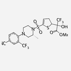 COC(=O)C(O)(C1CC=C(S(=O)(=O)N2CCN(c3ccc(C#N)cc3C(F)(F)F)C[C@H]2C)S1)C(F)(F)F